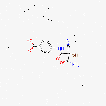 N#CC(S)(C(N)=O)C(=O)Nc1ccc(C(=O)O)cc1